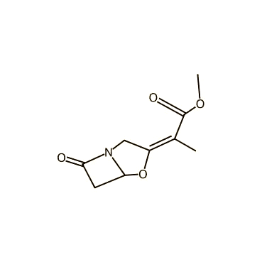 COC(=O)C(C)=C1CN2C(=O)CC2O1